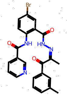 CC(=NNC(=O)c1cc(Br)ccc1NC(=O)c1cccnc1)C(=O)c1cccc(C)c1